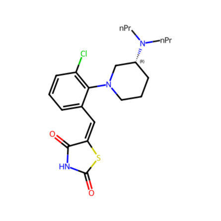 CCCN(CCC)[C@@H]1CCCN(c2c(Cl)cccc2C=C2SC(=O)NC2=O)C1